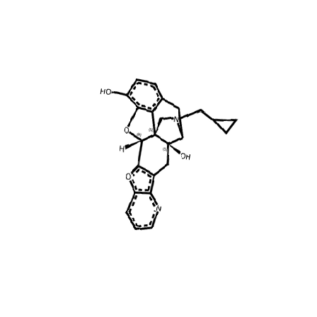 Oc1ccc2c3c1O[C@H]1c4oc5cccnc5c4C[C@@]4(O)C(C2)N(CC2CC2)CC[C@]314